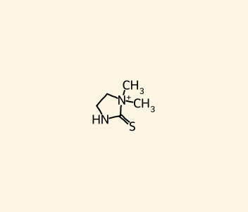 C[N+]1(C)CCNC1=S